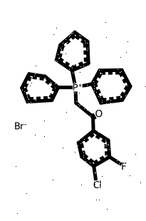 O=C(C[P+](c1ccccc1)(c1ccccc1)c1ccccc1)c1ccc(Cl)c(F)c1.[Br-]